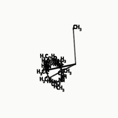 CCc1c2c(CC)c3c(CC)c1CNC(=O)Nc1ccc(C)cc1NC(=O)NCc1c(CC)c(c(CC)c(c1CC)CNC(=O)Nc1cc(C)ccc1NC(=O)NC3)CNC(=O)Nc1cc(C)ccc1NC(=O)NC2